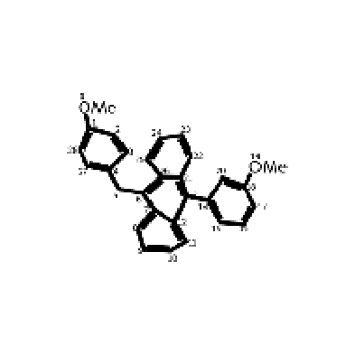 COc1ccc(Cc2c3ccccc3c(-c3cccc(OC)c3)c3ccccc23)cc1